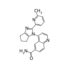 Cc1cccc(-c2nc3c(n2-c2ccnc4ccc(C(N)=O)cc24)CCC3)n1